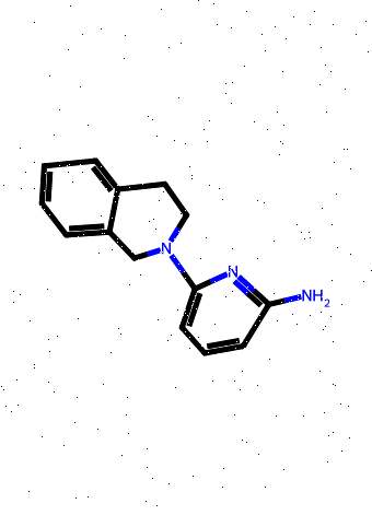 Nc1cccc(N2CCc3ccccc3C2)n1